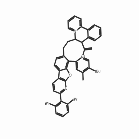 C=C1C2c3ccccc3-c3cccc[n+]3C2CCc2ccc3c(oc4nc(-c5c(C(C)C)cccc5C(C)C)ccc43)c2-c2cc(C)c(C(C)(C)C)c[n+]21